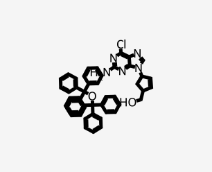 Nc1nc(Cl)c2ncn(C3C=CC(CO)C3)c2n1.c1ccc(C(OC(c2ccccc2)(c2ccccc2)c2ccccc2)(c2ccccc2)c2ccccc2)cc1